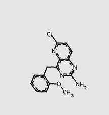 COc1ccccc1Cc1nc(N)nc2ccc(Cl)nc12